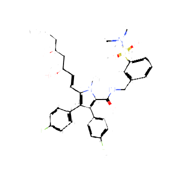 CC(C)n1c(C=C[C@@H](O)C[C@@H](O)CC(=O)O)c(-c2ccc(F)cc2)c(-c2ccc(F)cc2)c1C(=O)NCc1cccc(S(=O)(=O)N(C)C)c1